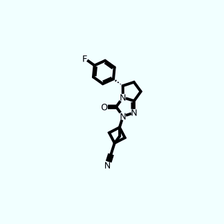 N#CC12CC(n3nc4n(c3=O)[C@H](c3ccc(F)cc3)CC4)(C1)C2